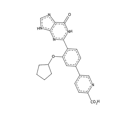 O=C(O)c1ccc(-c2ccc(-c3nc4[nH]cnc4c(=O)[nH]3)c(OC3CCCC3)c2)cn1